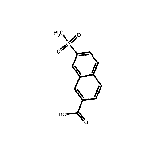 CS(=O)(=O)c1ccc2ccc(C(=O)O)cc2c1